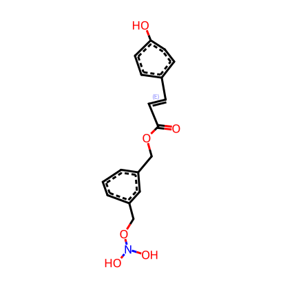 O=C(/C=C/c1ccc(O)cc1)OCc1cccc(CON(O)O)c1